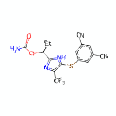 CCC(OC(N)=O)c1nc(C(F)(F)F)c(Sc2cc(C#N)cc(C#N)c2)[nH]1